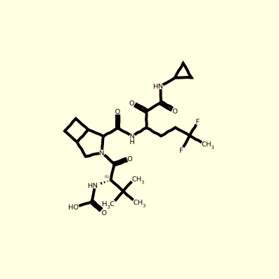 CC(F)(F)CCC(NC(=O)C1C2CCC2CN1C(=O)[C@@H](NC(=O)O)C(C)(C)C)C(=O)C(=O)NC1CC1